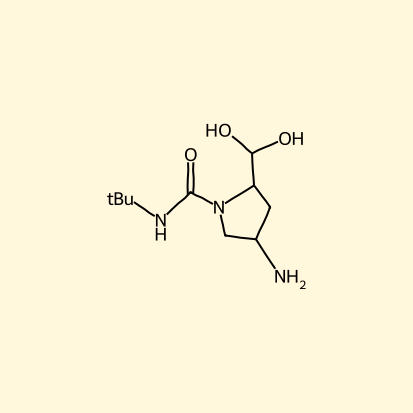 CC(C)(C)NC(=O)N1CC(N)CC1C(O)O